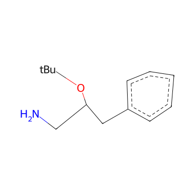 CC(C)(C)OC(CN)Cc1ccccc1